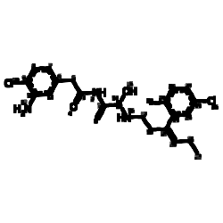 C=C(NC(=O)Cc1ccc(Cl)c(N)c1)B(O)NCC/C(=C/CC)c1cc(Cl)ccc1C